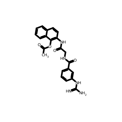 CC(=O)Oc1c(NC(=O)CNC(=O)c2cccc(NC(=N)N)c2)ccc2ccccc12